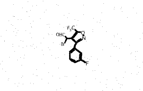 O=CC(Br)c1c(-c2cccc(F)c2)noc1C(F)(F)F